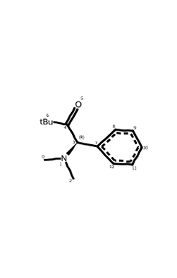 CN(C)[C@@H](C(=O)C(C)(C)C)c1ccccc1